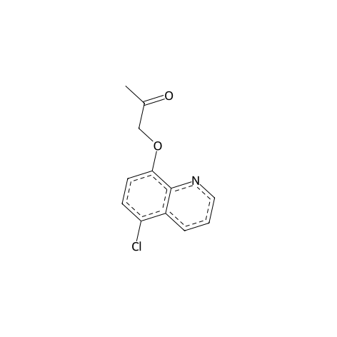 CC(=O)COc1ccc(Cl)c2cccnc12